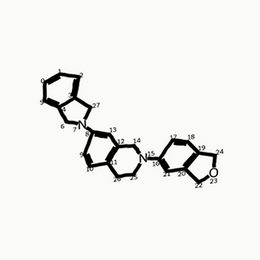 c1ccc2c(c1)CN(c1ccc3c(c1)CN(c1ccc4c(c1)COC4)CC3)C2